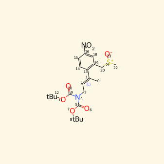 C/C(=C\CN(C(=O)OC(C)(C)C)C(=O)OC(C)(C)C)c1ccc([N+](=O)[O-])cc1C[S+](C)[O-]